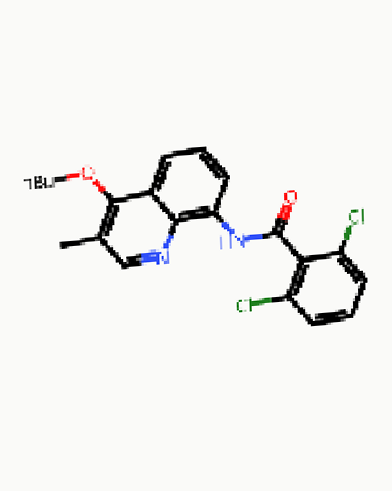 CCCCOc1c(C)cnc2c(NC(=O)c3c(Cl)cccc3Cl)cccc12